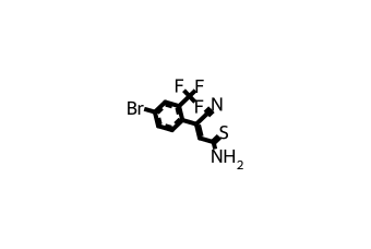 N#CC(=CC(N)=S)c1ccc(Br)cc1C(F)(F)F